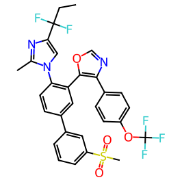 CCC(F)(F)c1cn(-c2ccc(-c3cccc(S(C)(=O)=O)c3)cc2-c2ocnc2-c2ccc(OC(F)(F)F)cc2)c(C)n1